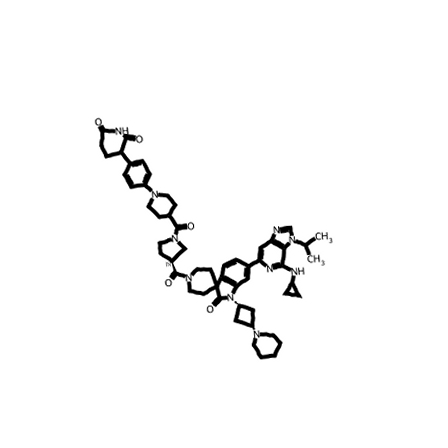 CC(C)n1cnc2cc(-c3ccc4c(c3)N([C@H]3C[C@@H](N5CCCCC5)C3)C(=O)C43CCN(C(=O)[C@H]4CCN(C(=O)C5CCN(c6ccc(C7CCC(=O)NC7=O)cc6)CC5)C4)CC3)nc(NC3CC3)c21